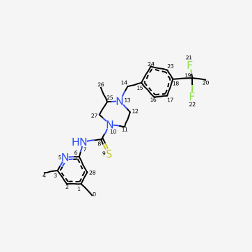 Cc1cc(C)nc(NC(=S)N2CCN(Cc3ccc(C(C)(F)F)cc3)C(C)C2)c1